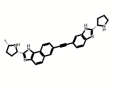 C[C@H]1CC[C@@H](c2nc3ccc4cc(C#Cc5ccc6nc([C@@H]7CCCN7)[nH]c6c5)ccc4c3[nH]2)N1